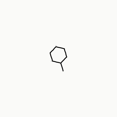 CC1[CH]C[CH]CC1